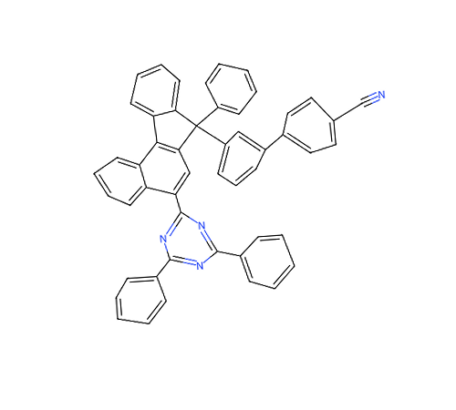 N#Cc1ccc(-c2cccc(C3(c4ccccc4)c4ccccc4-c4c3cc(-c3nc(-c5ccccc5)nc(-c5ccccc5)n3)c3ccccc43)c2)cc1